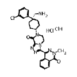 Cl.Cl.Cn1nc(-c2nnc3n2CCN([C@H]2CC[C@](CN)(c4cccc(Cl)c4)CC2)C3=O)c2ccccc2c1=O